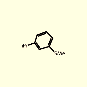 [CH2]C(C)c1cccc(SC)c1